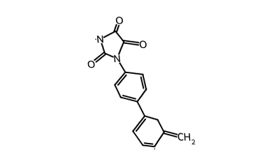 C=C1[C]=CC=C(c2ccc(N3C(=O)[N]C(=O)C3=O)cc2)C1